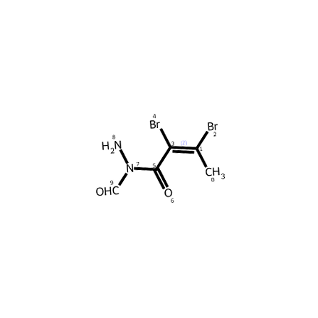 C/C(Br)=C(/Br)C(=O)N(N)C=O